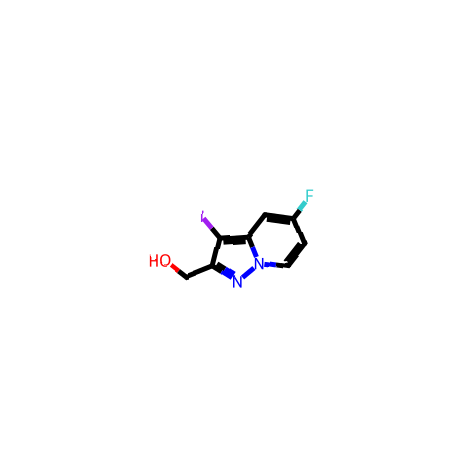 OCc1nn2ccc(F)cc2c1I